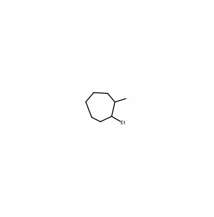 [CH2]C1CCCCCC1CC